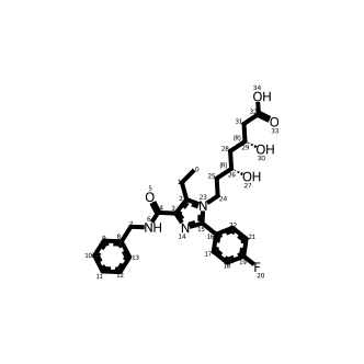 CCc1c(C(=O)NCc2ccccc2)nc(-c2ccc(F)cc2)n1CC[C@@H](O)C[C@@H](O)CC(=O)O